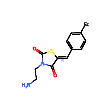 CCc1ccc(/C=C2\SC(=O)N(CCN)C2=O)cc1